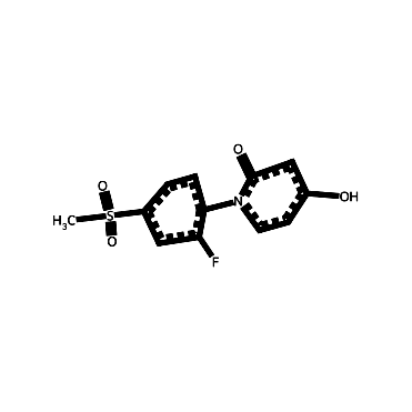 CS(=O)(=O)c1ccc(-n2ccc(O)cc2=O)c(F)c1